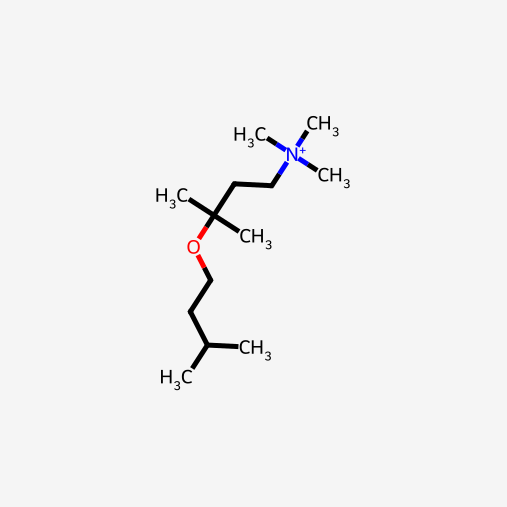 CC(C)CCOC(C)(C)CC[N+](C)(C)C